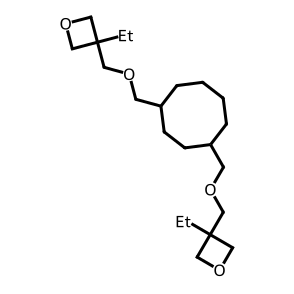 CCC1(COCC2CCCCC(COCC3(CC)COC3)CC2)COC1